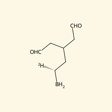 [2H][C@@H](B)CC(CC=O)CC=O